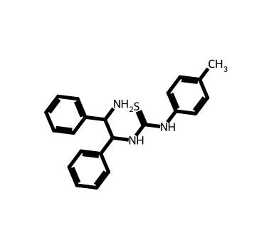 Cc1ccc(NC(=S)NC(c2ccccc2)C(N)c2ccccc2)cc1